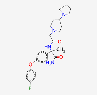 CC(NC(=O)CN1CCC(N2CCCC2)CC1)(C(N)=O)c1ccc(Oc2ccc(F)cc2)cc1